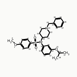 COc1ccc(S(=O)(=O)N(c2cccc(OC(C)C)c2)C2CCN(Cc3ccccc3)CC2)cc1